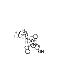 CC(C)(C)OC(=O)N[C@@H](Cc1ccccc1)[C@@H](O)C[C@@](Cc1cccc(O)c1)(C(N)=O)[C@H]1CCc2ccccc21